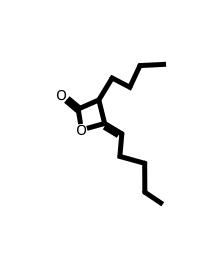 CCCCC=C1OC(=O)C1CCCC